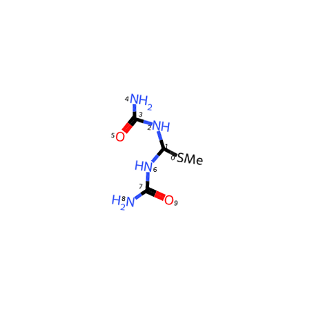 CSC(NC(N)=O)NC(N)=O